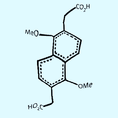 COc1c(CC(=O)O)ccc2c(OC)c(CC(=O)O)ccc12